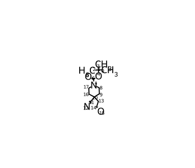 CC(C)(C)OC(=O)N1CCC(C#N)(CC=O)CC1